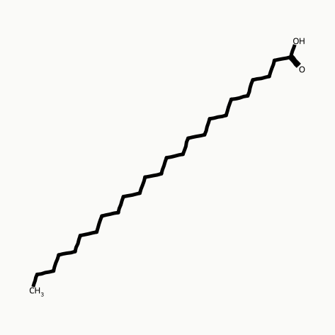 CCCCCCCCCCCCCCCCCCCCCCCCC(=O)O